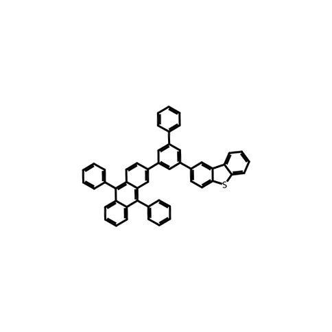 c1ccc(-c2cc(-c3ccc4c(-c5ccccc5)c5ccccc5c(-c5ccccc5)c4c3)cc(-c3ccc4sc5ccccc5c4c3)c2)cc1